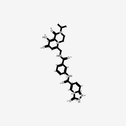 CC(C)N1CCn2c(CNC(=O)c3cccc(NC(=O)c4ccc5n[nH]c(=O)n5c4)c3)cc(=O)c(O)c2C1=O